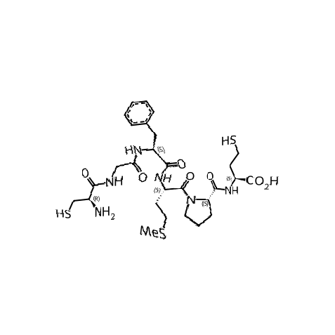 CSCC[C@H](NC(=O)[C@H](Cc1ccccc1)NC(=O)CNC(=O)[C@@H](N)CS)C(=O)N1CCC[C@H]1C(=O)N[C@@H](CCS)C(=O)O